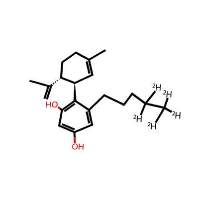 [2H]C([2H])([2H])C([2H])([2H])CCCc1cc(O)cc(O)c1[C@@H]1C=C(C)CC[C@H]1C(=C)C